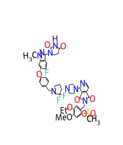 CCOc1cc([C@@H](CS(C)(=O)=O)N2C(=O)c3ccnc(N4CCN([C@H]5CCN(Cc6ccc(Oc7cc8c(cc7F)c(N7CCC(=O)NC7=O)nn8C)cc6)CC5(F)F)CC4)c3C2=O)ccc1OC